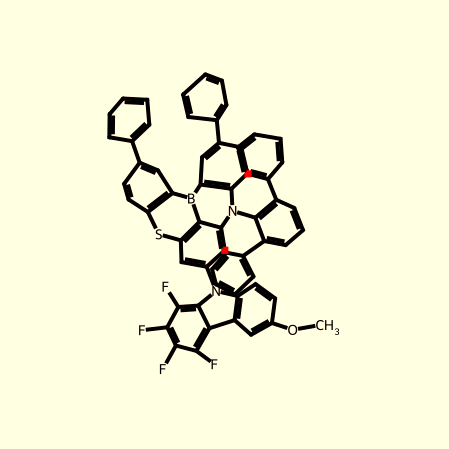 COc1ccc2c(c1)c1c(F)c(F)c(F)c(F)c1n2-c1cc2c3c(c1)N(c1c(-c4ccccc4)cccc1-c1ccccc1)c1ccc(-c4ccccc4)cc1B3c1cc(-c3ccccc3)ccc1S2